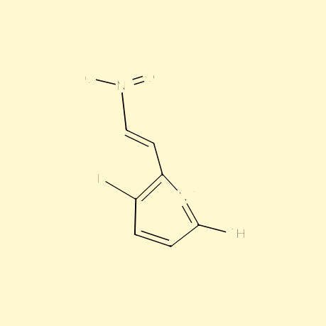 Cc1ccc(F)c(/C=C/[N+](=O)[O-])n1